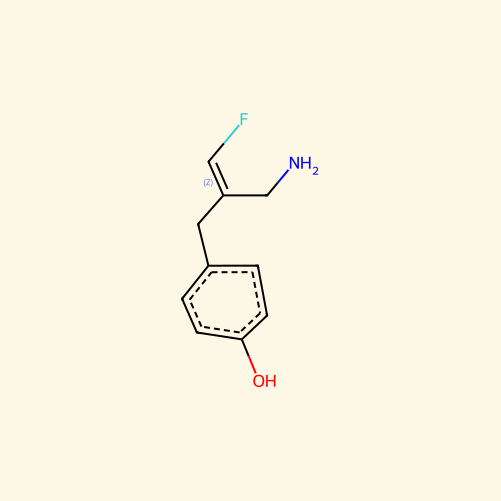 NC/C(=C\F)Cc1ccc(O)cc1